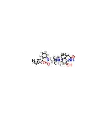 CCC1(CC)OC(=O)N(CCC(C)(C)NCC(C)c2ccc(O)c3[nH]c(=O)ccc23)c2ccccc21